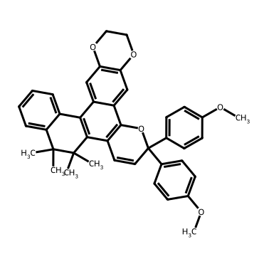 COc1ccc(C2(c3ccc(OC)cc3)C=Cc3c4c(c5cc6c(cc5c3O2)OCCO6)-c2ccccc2C(C)(C)C4(C)C)cc1